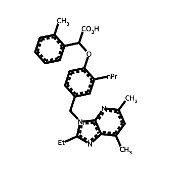 CCCc1cc(Cn2c(CC)nc3c(C)cc(C)nc32)ccc1OC(C(=O)O)c1ccccc1C